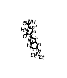 CCN(CC)Cc1ccc2[nH]c(-c3c[c]c(C(N)=O)[nH]c3=O)cc2c1